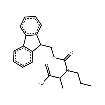 CCCN(C(=O)OCC1c2ccccc2-c2ccccc21)C(C)C(=O)O